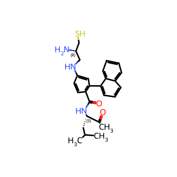 CC(=O)[C@H](CC(C)C)NC(=O)c1ccc(NC[C@@H](N)CS)cc1-c1cccc2ccccc12